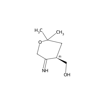 CC1(C)C[C@@H](CO)C(=N)CO1